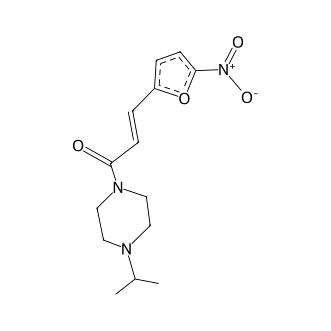 CC(C)N1CCN(C(=O)/C=C/c2ccc([N+](=O)[O-])o2)CC1